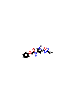 CC(C)c1noc([C@@H]2C[C@H](NC(=O)COc3ccccc3)CN2C)n1